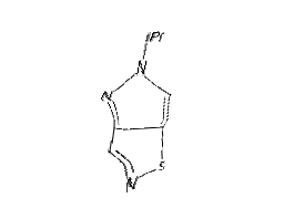 CC(C)n1cc2sncc2n1